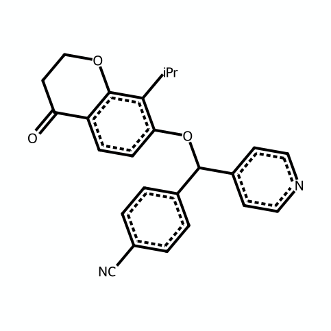 CC(C)c1c(OC(c2ccncc2)c2ccc(C#N)cc2)ccc2c1OCCC2=O